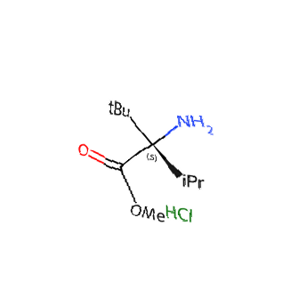 COC(=O)[C@](N)(C(C)C)C(C)(C)C.Cl